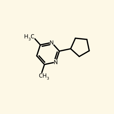 Cc1cc(C)nc(C2CCCC2)n1